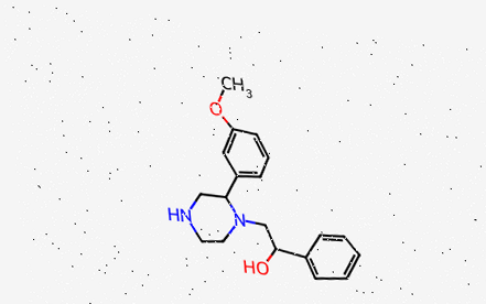 COc1cccc(C2CNCCN2CC(O)c2ccccc2)c1